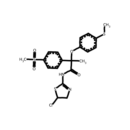 CSc1ccc(OC(C)(C(=O)NC2=NCC(Cl)S2)c2ccc(S(C)(=O)=O)cc2)cc1